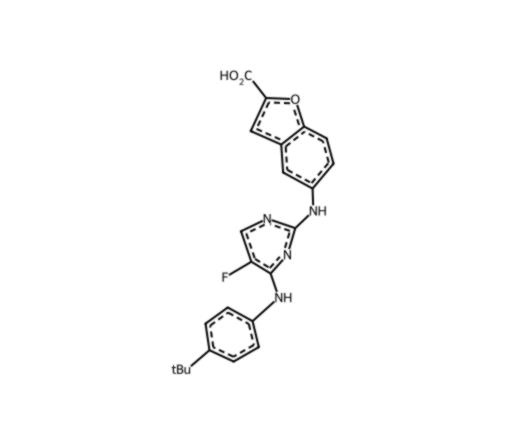 CC(C)(C)c1ccc(Nc2nc(Nc3ccc4oc(C(=O)O)cc4c3)ncc2F)cc1